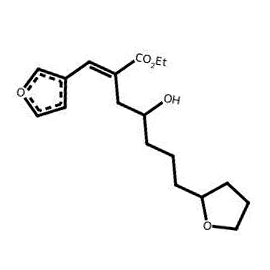 CCOC(=O)C(=Cc1ccoc1)CC(O)CCCC1CCCO1